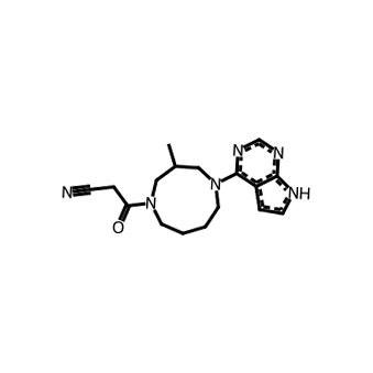 CC1CN(C(=O)CC#N)CCCCN(c2ncnc3[nH]ccc23)C1